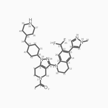 CC(=O)N1CCc2c(c(N3CCCc4cc(-c5cnn(C)c5)c(C(F)F)cc43)nn2C2CCC(CC3CCNCC3)CC2)C1